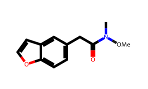 CON(C)C(=O)Cc1ccc2occc2c1